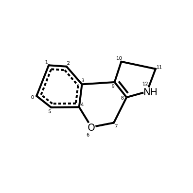 c1ccc2c(c1)OCC1=C2CCN1